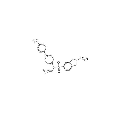 C=CC(N1CCN(c2ccc(C(F)(F)F)cc2)CC1)S(=O)(=O)c1ccc2c(c1)CC(C(=O)O)C2